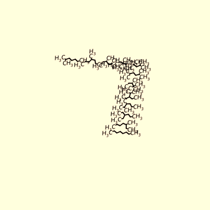 CC(C)CC(C)(C)C.CC(C)CCC(C)C.CCC(C)(C)C(C)C.CCC(C)C(C)(C)C.CCC(C)CC(C)C.CCC(CC)C(C)C.CCCC(C)C(C)C.CCCC(C)CCC.CCCC(CC)CC.CCCCC(C)CC.CCCCCC(C)C.CCCCCCCC